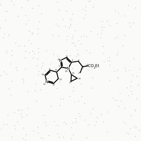 CCOC(=O)C(C)Cc1cnc(C2C=CN=CC2)n1C1CC1